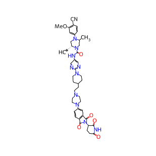 C#C[C@@H]1CN(c2ccc(C#N)c(OC)c2)[C@@H](C)CN1C(=O)Nc1cnc(N2CCC(CCN3CCN(c4ccc5c(c4)C(=O)N(C4CCC(=O)NC4=O)C5=O)CC3)CC2)nc1